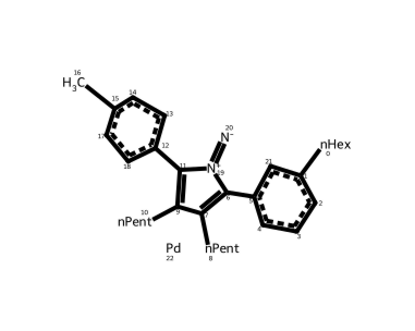 CCCCCCc1cccc(C2=C(CCCCC)C(CCCCC)=C(c3ccc(C)cc3)[N+]2=[N-])c1.[Pd]